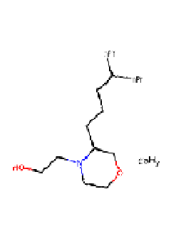 CCCC(CCC)CCCC1COCCN1CCO.[CaH2]